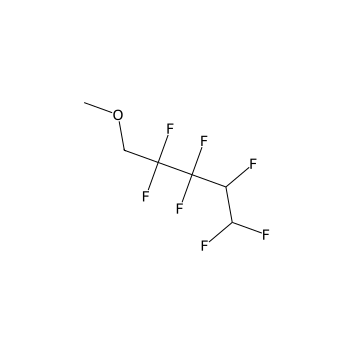 COCC(F)(F)C(F)(F)C(F)C(F)F